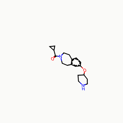 O=C(C1CC1)N1CCc2ccc(OC3CCNCC3)cc2CC1